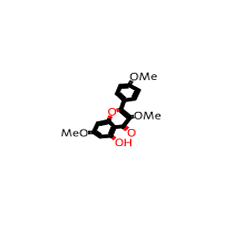 COc1ccc(-c2oc3cc(OC)cc(O)c3c(=O)c2OC)cc1